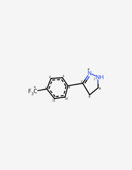 FC(F)(F)c1ccc(C2=NNCC2)cc1